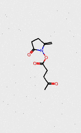 C=C1CCC(=O)N1OC(=O)CCC(C)=O